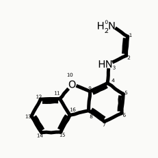 N/C=C\Nc1cccc2c1oc1ccccc12